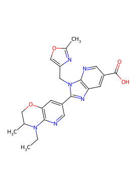 CCN1c2ncc(-c3nc4cc(C(=O)O)cnc4n3Cc3coc(C)n3)cc2OCC1C